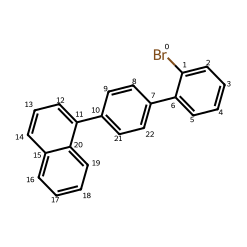 Brc1ccccc1-c1ccc(-c2cccc3ccccc23)cc1